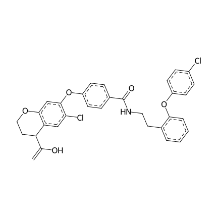 C=C(O)C1CCOc2cc(Oc3ccc(C(=O)NCCc4ccccc4Oc4ccc(Cl)cc4)cc3)c(Cl)cc21